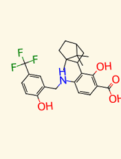 CC1(C)C2CCC1(C)C(c1c(NCc3cc(C(F)(F)F)ccc3O)ccc(C(=O)O)c1O)C2